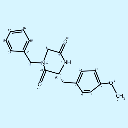 COc1ccc(C[C@H]2NC(=O)CN(Cc3ccccc3)C2=O)cc1